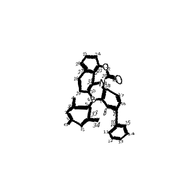 Cc1cc(C)c(B2c3cc(-c4ccccc4)ccc3N3C(=O)Oc4cccc5ccc2c3c45)c(C)c1